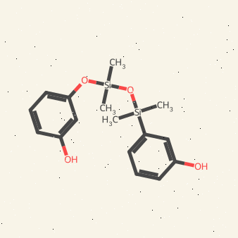 C[Si](C)(Oc1cccc(O)c1)O[Si](C)(C)c1cccc(O)c1